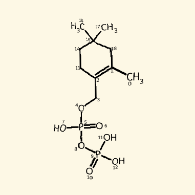 CC1=C(COP(=O)(O)OP(=O)(O)O)CCC(C)(C)C1